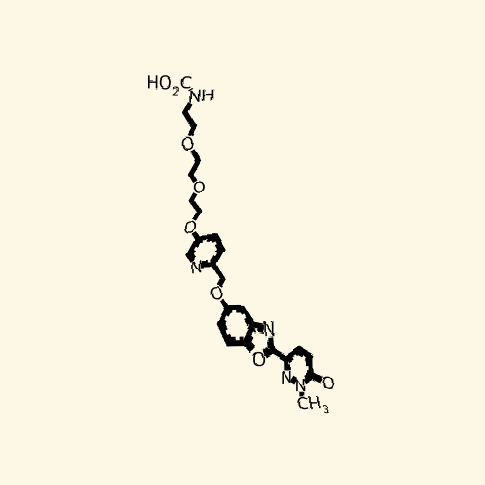 Cn1nc(-c2nc3cc(OCc4ccc(OCCOCCOCCNC(=O)O)cn4)ccc3o2)ccc1=O